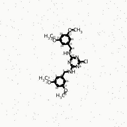 COc1cc(CNc2nc(Cl)nc(NCc3cc(OC)cc(OC)c3)n2)cc(OC)c1